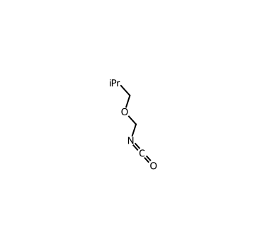 CC(C)COCN=C=O